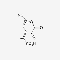 C=CC(=O)OC.CC(=CC=CC#N)C(=O)O